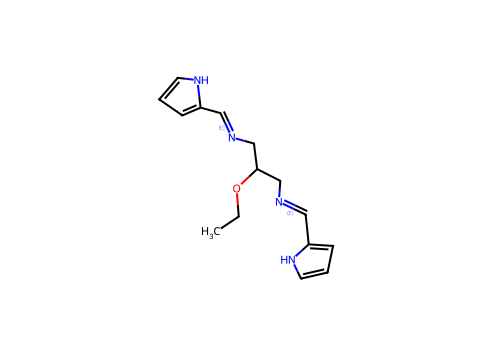 CCOC(C/N=C/c1ccc[nH]1)C/N=C/c1ccc[nH]1